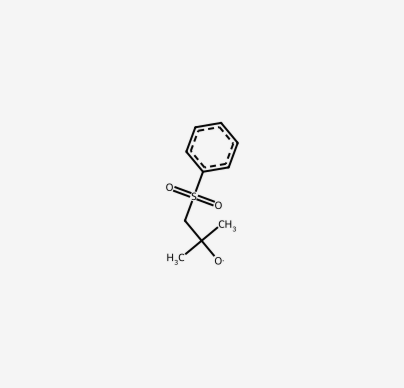 CC(C)([O])CS(=O)(=O)c1ccccc1